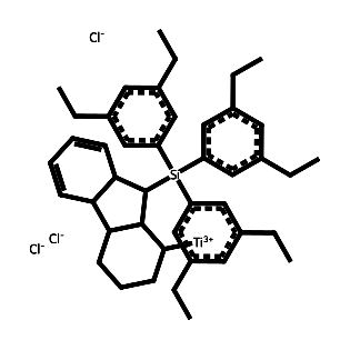 CCc1cc(CC)cc([Si](c2cc(CC)cc(CC)c2)(c2cc(CC)cc(CC)c2)C2C3C=CC=CC3C3CCC[CH]([Ti+3])C32)c1.[Cl-].[Cl-].[Cl-]